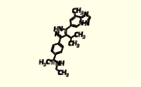 CCN[C@@H](C)c1ccc(-c2n[nH]c(-c3cc(C)c4ncnn4c3)c2C(C)C)cc1